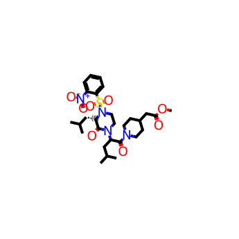 COC(=O)CC1CCN(C(=O)C(CC(C)C)N2CCN(S(=O)(=O)c3ccccc3[N+](=O)[O-])[C@@H](CC(C)C)C2=O)CC1